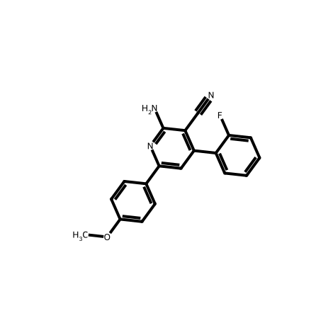 COc1ccc(-c2cc(-c3ccccc3F)c(C#N)c(N)n2)cc1